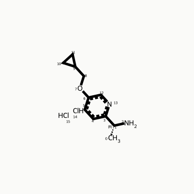 C[C@@H](N)c1ccc(OCC2CC2)cn1.Cl.Cl